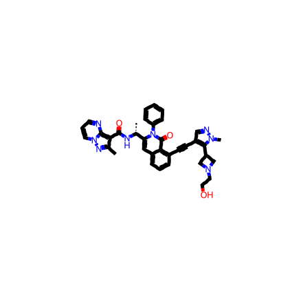 Cc1nn2cccnc2c1C(=O)N[C@H](C)c1cc2cccc(C#Cc3cnn(C)c3C3CN(CCO)C3)c2c(=O)n1-c1ccccc1